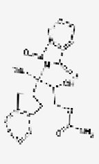 CC(C)(C)C(C(O)COC(N)=O)(C1Cc2ccccc2C1)N1C(=O)c2ccccc2C1=O